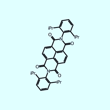 CC(C)c1cccc(C(C)C)c1N1C(=O)c2ccc3c4c(ccc(c24)C1=O)C(=O)N(c1c(C(C)C)cccc1C(C)C)C3=O